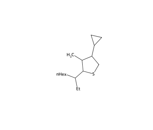 CCCCCCC(CC)C1SCC(C2CC2)C1C